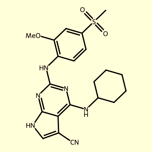 COc1cc(S(C)(=O)=O)ccc1Nc1nc(NC2CCCCC2)c2c(C#N)c[nH]c2n1